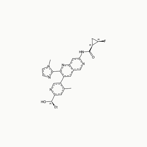 CC[C@@H](O)c1cc(C)c(-c2cc3cnc(NC(=O)[C@H]4C[C@H]4F)cc3nc2-c2nccn2C)cn1